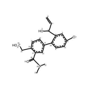 C=CC(O)c1cc(Cl)ccc1-c1ccc(CC(=O)O)c(C(=O)N(C)C)c1